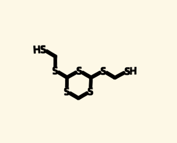 SCSC1SCSC(SCS)S1